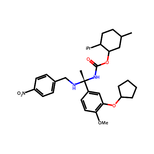 COc1ccc([C@](C)(NCc2ccc([N+](=O)[O-])cc2)NC(=O)OC2CC(C)CCC2C(C)C)cc1OC1CCCC1